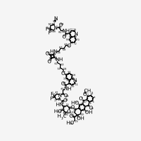 COc1cccc2c1C(=O)c1c(O)c3c(c(O)c1C2=O)C[C@@](O)(C(=O)CO)C[C@@H]3O[C@H]1C[C@H](NC(=O)[C@@H]2CC(F)(F)CN2C(=O)CNC(=O)c2ccnc3ccc(OCCCCNc4c(NCCCCOc5ccc6nccc(C(=O)NCC(=O)N7CC(F)(F)C[C@@H]7C#N)c6c5)c(=O)c4=O)cc23)[C@H](O)[C@H](C)O1